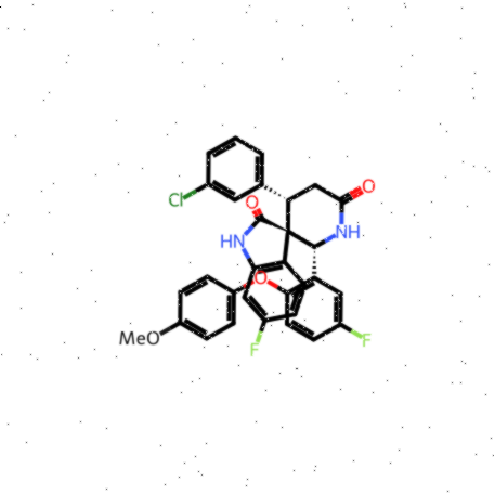 COc1ccc(Oc2ccc(F)cc2[C@H]2NC(=O)C[C@@H](c3cccc(Cl)c3)[C@]23C(=O)Nc2cc(F)ccc23)cc1